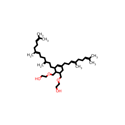 C=C(CC/C=C(\C)CCC=C(C)C)CCC1C=C(CC/C=C(\C)CCC=C(C)C)CC(COCCO)C1COCCO